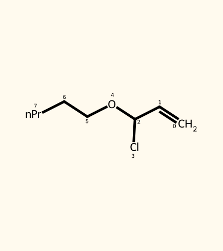 C=CC(Cl)OCCCCC